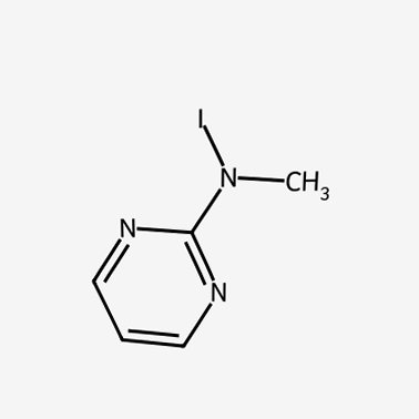 CN(I)c1ncccn1